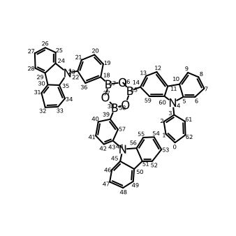 c1ccc(-n2c3ccccc3c3ccc(B4OB(c5cccc(-n6c7ccccc7c7ccccc76)c5)OB(c5cccc(-n6c7ccccc7c7ccccc76)c5)O4)cc32)cc1